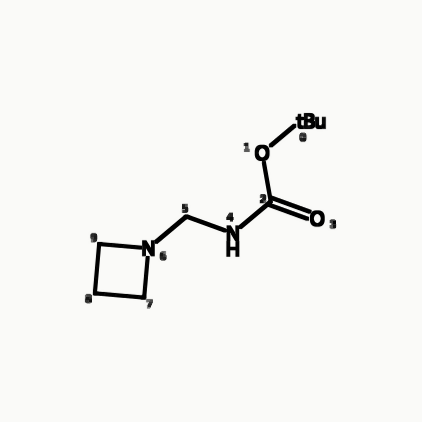 CC(C)(C)OC(=O)NCN1CCC1